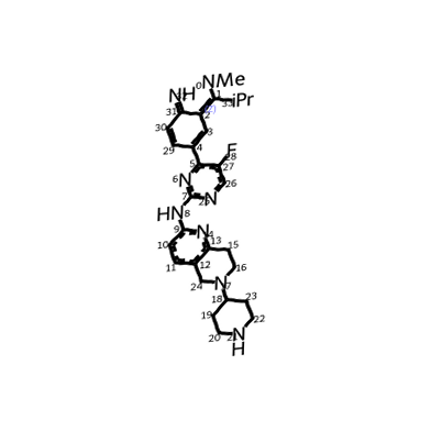 CN/C(=C1/C=C(c2nc(Nc3ccc4c(n3)CCN(C3CCNCC3)C4)ncc2F)C=CC1=N)C(C)C